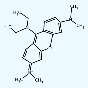 CCN(CC)c1c2ccc(=[N+](C)C)cc-2oc2cc(N(C)C)ccc12